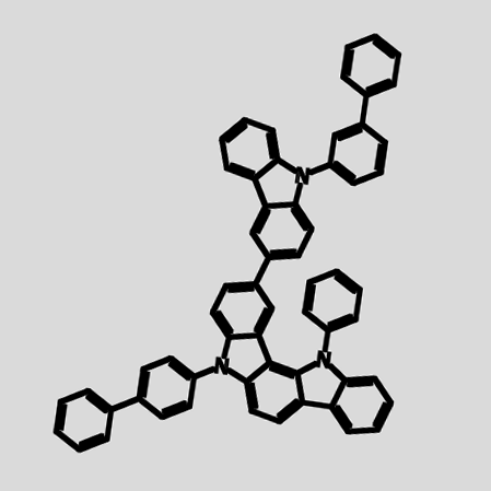 c1ccc(-c2ccc(-n3c4ccc(-c5ccc6c(c5)c5ccccc5n6-c5cccc(-c6ccccc6)c5)cc4c4c3ccc3c5ccccc5n(-c5ccccc5)c34)cc2)cc1